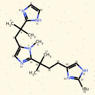 Cn1c(CC(C)(C)c2ncc[nH]2)cnc1C(C)(C)CCc1c[nH]c(C(C)(C)C)n1